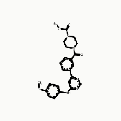 CC(C)(C)OC(=O)N1CCN(C(=O)c2cccc(-c3cc(Nc4ccc(OC(F)(F)F)cc4)ncn3)c2)CC1